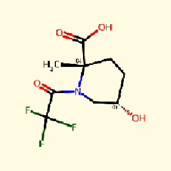 C[C@@]1(C(=O)O)CC[C@H](O)CN1C(=O)C(F)(F)F